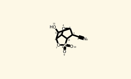 N#CC1C2OC3C(OS(=O)(=O)C13)C2O